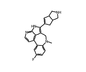 CN1Cc2c(C3=CC4CNCC4C3)[nH]c3nccc(c23)-c2cc(F)ccc21